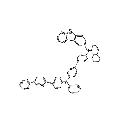 c1ccc(-c2ccc(-c3ccc(N(c4ccccc4)c4ccc(-c5ccc(N(c6ccc7sc8ccccc8c7c6)c6cccc7ccccc67)cc5)cc4)cc3)cc2)cc1